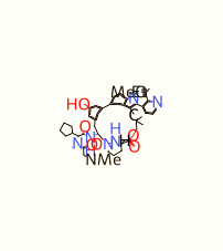 CCn1c(-c2cccnc2[C@H](C)OC)c2c3cc(ccc31)-c1cc(O)cc(c1)C[C@H](NC(=O)[C@H](C1CCCC1)N(C)C(=O)CNC)C(=O)N1CCC[C@H](N1)C(=O)OCC(C)(C)C2